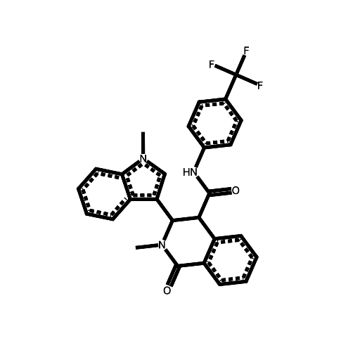 CN1C(=O)c2ccccc2C(C(=O)Nc2ccc(C(F)(F)F)cc2)C1c1cn(C)c2ccccc12